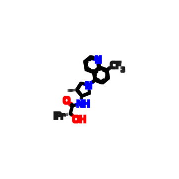 CC(C)[C@@H](O)C(=O)N[C@H]1CN(c2ccc(C(F)(F)F)c3ncccc23)C[C@H]1C